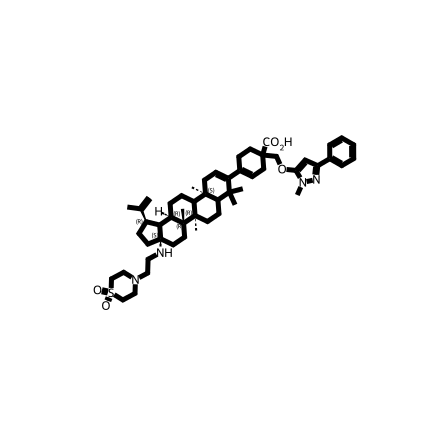 C=C(C)[C@@H]1CC[C@]2(NCCN3CCS(=O)(=O)CC3)CC[C@]3(C)[C@H](CCC4[C@@]5(C)CC=C(C6=CCC(COc7cc(-c8ccccc8)nn7C)(C(=O)O)CC6)C(C)(C)C5CC[C@]43C)C12